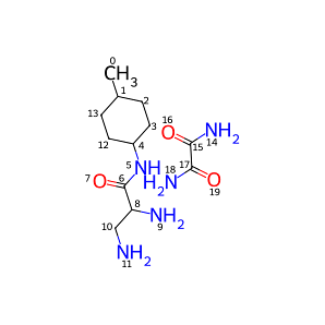 CC1CCC(NC(=O)C(N)CN)CC1.NC(=O)C(N)=O